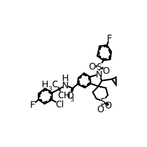 CC(C)(NC(=O)c1ccc2c(c1)C1(CCS(=O)(=O)CC1)C(C1CC1)N2S(=O)(=O)c1ccc(F)cc1)c1ccc(F)cc1Cl